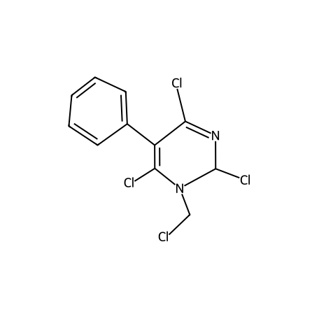 ClCN1C(Cl)=C(c2ccccc2)C(Cl)=NC1Cl